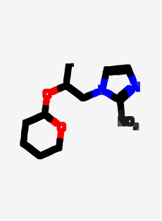 [CH2]C(Cn1ccnc1[N+](=O)[O-])OC1CCCCO1